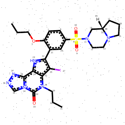 CCCOc1ccc(S(=O)(=O)N2CCN3CCC[C@H]3C2)cc1-c1[nH]c2c(c1I)n(CCC)c(=O)n1cnnc21